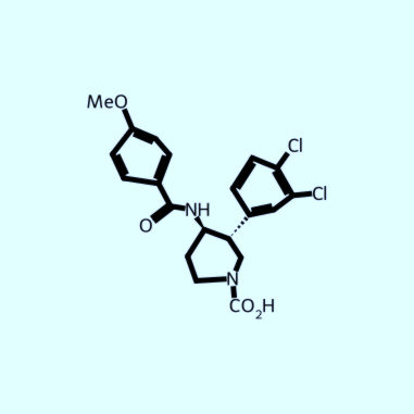 COc1ccc(C(=O)N[C@@H]2CCN(C(=O)O)C[C@H]2c2ccc(Cl)c(Cl)c2)cc1